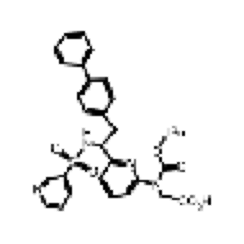 CC(C)(C)OC(=O)N(CC(=O)O)c1cccc(C(Cc2ccc(-c3ccccc3)cc2)NS(=O)(=O)c2cccnc2)n1